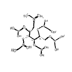 CN(C)C[C@H](ON(O)O)[C@@H](ON(O)O)[C@H](ON(O)O)[C@@H](CON(O)O)ON(O)O